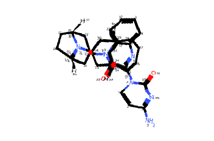 Nc1ccn(-c2nc3ccccc3n(C3C[C@H]4CC[C@@H](C3)N4C3C[C@H]4CCCC[C@@H](C3)C4)c2=O)c(=O)n1